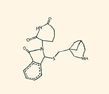 O=C1CCC(N2C(=O)c3ccccc3C2SCC23CNCC(C2)C3)C(=O)N1